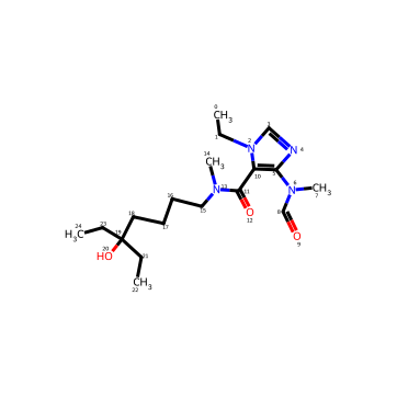 CCn1cnc(N(C)C=O)c1C(=O)N(C)CCCCC(O)(CC)CC